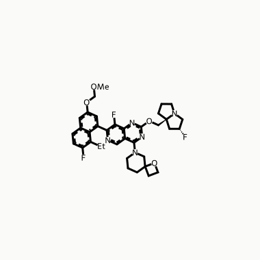 CCc1c(F)ccc2cc(OCOC)cc(-c3ncc4c(N5CCCC6(CCO6)C5)nc(OC[C@@]56CCCN5C[C@H](F)C6)nc4c3F)c12